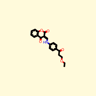 CCOCCC(=O)c1ccc(NC=C2C(=O)Oc3ccccc3C2=O)cc1